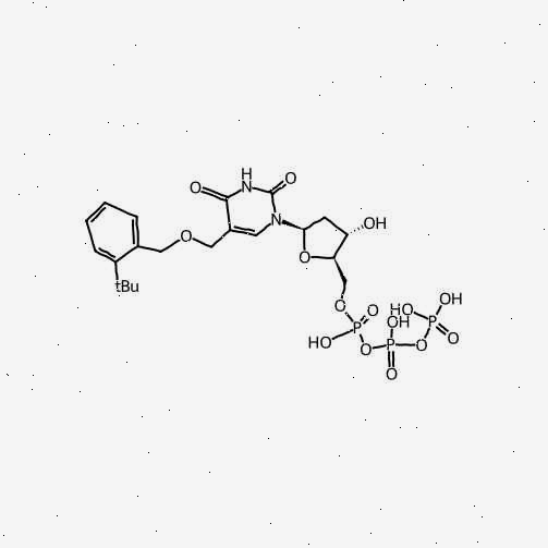 CC(C)(C)c1ccccc1COCc1cn([C@H]2C[C@H](O)[C@@H](COP(=O)(O)OP(=O)(O)OP(=O)(O)O)O2)c(=O)[nH]c1=O